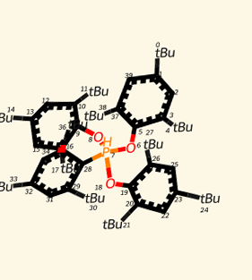 CC(C)(C)c1cc(C(C)(C)C)c(O[PH](Oc2c(C(C)(C)C)cc(C(C)(C)C)cc2C(C)(C)C)(Oc2c(C(C)(C)C)cc(C(C)(C)C)cc2C(C)(C)C)c2c(C(C)(C)C)cc(C(C)(C)C)cc2C(C)(C)C)c(C(C)(C)C)c1